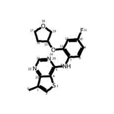 Cc1csc2c(Nc3ccc(F)cc3OC3CCOC3)ncnc12